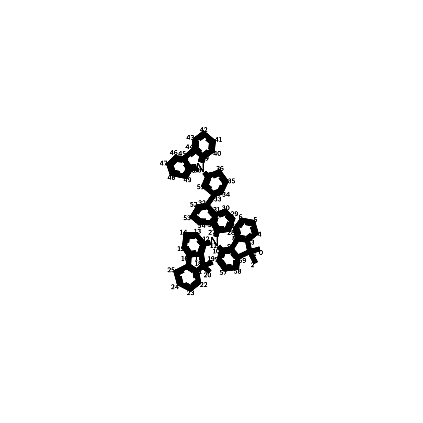 CC1(C)c2ccccc2-c2c(N(c3cccc4c3C(C)(C)c3ccccc3-4)c3cccc4c(-c5cccc(-n6c7ccccc7c7ccccc76)c5)cccc34)cccc21